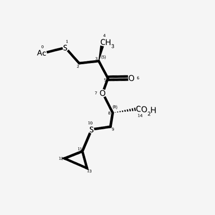 CC(=O)SC[C@@H](C)C(=O)O[C@@H](CSC1CC1)C(=O)O